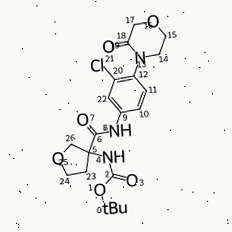 CC(C)(C)OC(=O)NC1(C(=O)Nc2ccc(N3CCOCC3=O)c(Cl)c2)CCOC1